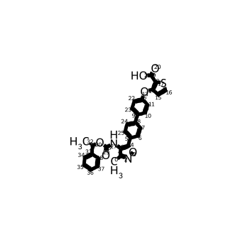 Cc1noc(-c2ccc(-c3ccc(Oc4ccsc4C(=O)O)cc3)cc2)c1NC(=O)O[C@H](C)c1ccccc1